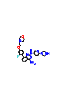 Nc1nc(Nc2ccc(N3CCNCC3)nc2)nc2c(-c3ccc(OCCN4CCOCC4)cc3F)cccc12